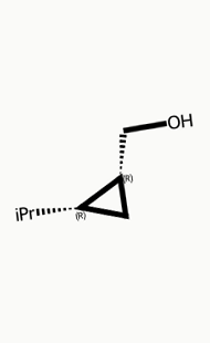 CC(C)[C@H]1C[C@H]1CO